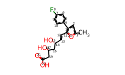 Cc1cc(-c2ccc(F)cc2)c(C=C[C@@H](O)C[C@H](O)CC(=O)O)o1